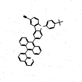 N#Cc1ccc2c(c1)c1cc(-c3c4ccccc4c(-c4cccc5cccnc45)c4ccccc34)ccc1n2-c1ccc(C(F)(F)F)cc1